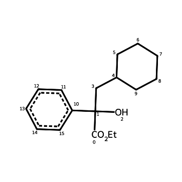 CCOC(=O)C(O)(CC1CCCCC1)c1ccccc1